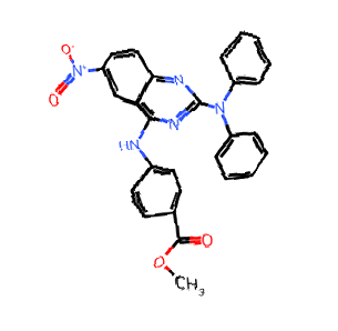 COC(=O)c1ccc(Nc2nc(N(c3ccccc3)c3ccccc3)nc3ccc([N+](=O)[O-])cc23)cc1